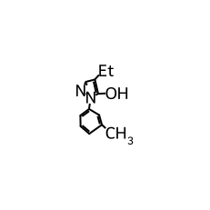 CCc1cnn(-c2cccc(C)c2)c1O